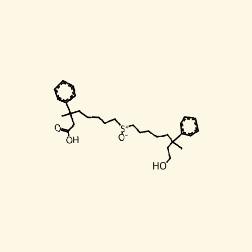 CC(CCO)(CCCCC[S+]([O-])CCCCCC(C)(CC(=O)O)c1ccccc1)c1ccccc1